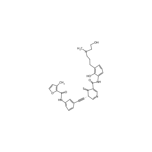 Cc1ccoc1C(=O)Nc1cccc(C#C[C@H]2C=NC=C(C(=O)Nc3cccc(CCCN(C)CCO)c3O)C2=S)c1